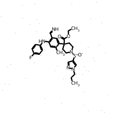 CCCn1cc([S+]([O-])N2CCC(C(=O)OCC)(c3cc(C=N)c(Nc4ccc(F)cc4)cc3C)CC2)cn1